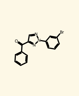 O=C(c1ccccc1)c1cnn(-c2cccc(Br)c2)n1